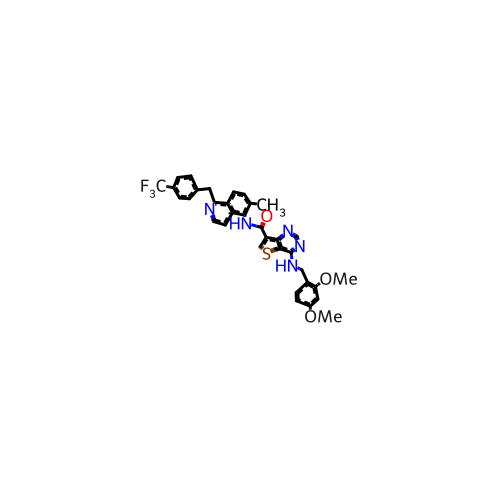 COc1ccc(CNc2ncnc3c(C(=O)Nc4c(C)ccc5c(Cc6ccc(C(F)(F)F)cc6)nccc45)csc23)c(OC)c1